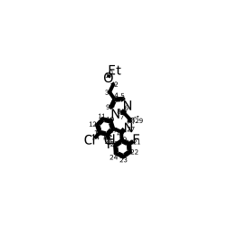 CCOCCc1cnc2[n+](c1)-c1ccc(Cl)c(Cl)c1C(c1c(F)cccc1F)=N[C@H]2C